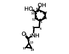 O=C(NCCc1ccc(O)c(O)c1)C1CC1